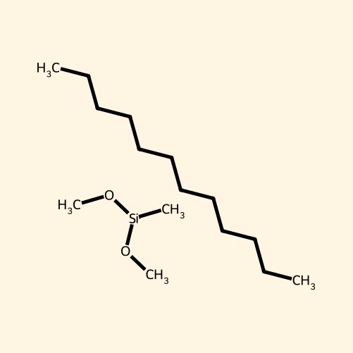 CCCCCCCCCCCC.CO[Si](C)OC